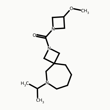 COC1CN(C(=O)N2CC3(CCCCN(C(C)C)C3)C2)C1